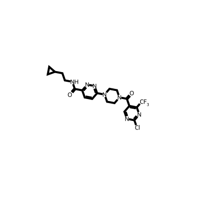 O=C(NCCC1CC1)c1ccc(N2CCN(C(=O)c3cnc(Cl)nc3C(F)(F)F)CC2)nn1